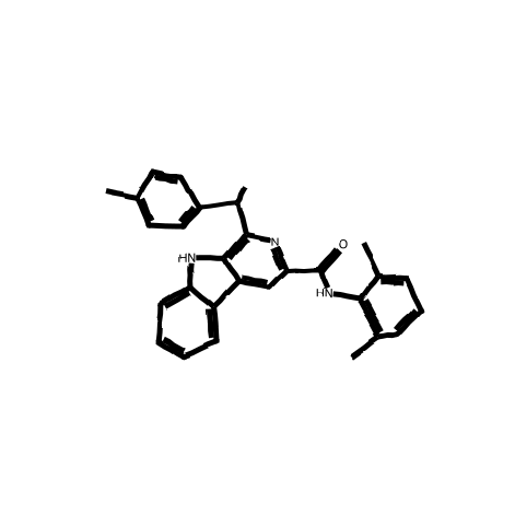 Cc1ccc(C(C)c2nc(C(=O)Nc3c(C)cccc3C)cc3c2[nH]c2ccccc23)cc1